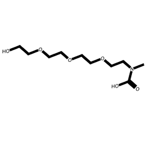 CN(CCOCCOCCOCCO)C(=O)O